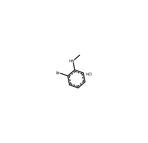 CNc1ccccc1Br.Cl